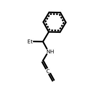 C=C=CNC(CC)c1ccccc1